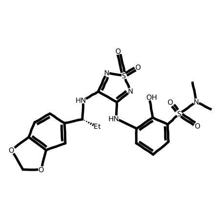 CC[C@@H](NC1=NS(=O)(=O)N=C1Nc1cccc(S(=O)(=O)N(C)C)c1O)c1ccc2c(c1)OCO2